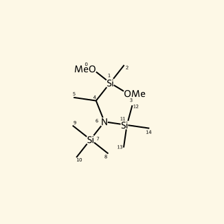 CO[Si](C)(OC)C(C)N([Si](C)(C)C)[Si](C)(C)C